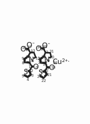 O=C(c1cccs1)c1ccc2n1CCC2C(=O)[O-].O=C(c1cccs1)c1ccc2n1CCC2C(=O)[O-].[Cu+2]